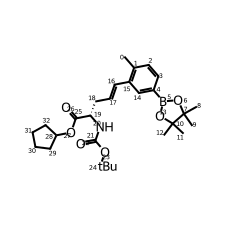 Cc1ccc(B2OC(C)(C)C(C)(C)O2)cc1C=CC[C@H](NC(=O)OC(C)(C)C)C(=O)OC1CCCC1